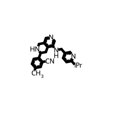 Cc1ccc(C2Cc3c(cncc3NCc3ccc(C(C)C)nc3)CN2)c(C#N)c1